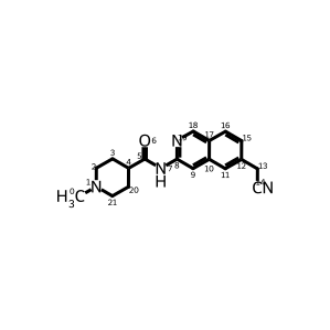 CN1CCC(C(=O)Nc2cc3cc(CC#N)ccc3cn2)CC1